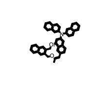 CC(=Cc1ccc2cc(N(c3ccc4ccccc4c3)c3ccc4ccccc4c3)ccc2c1)OCc1cc2ccccc2cc1CO